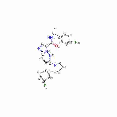 CC(NC(=O)c1cnc2ccc(N3CCC[C@@H]3c3cccc(F)c3)nn12)c1ccc(F)cc1